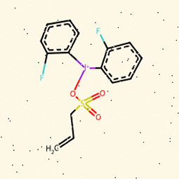 C=CCS(=O)(=O)O[I+](c1ccccc1F)c1ccccc1F